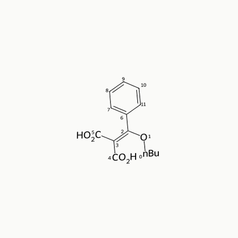 CCCCOC(=C(C(=O)O)C(=O)O)c1ccccc1